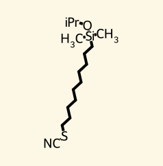 CC(C)O[Si](C)(C)CCCCCCCCCCSC#N